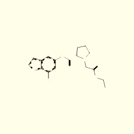 CCOC(=O)CN1CCC[C@H]1C(=O)Nc1cc(Br)c2occc2c1